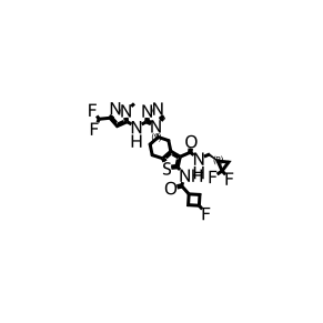 Cn1nc(C(F)F)cc1Nc1nncn1[C@H]1CCc2sc(NC(=O)C3CC(F)C3)c(C(=O)NC[C@H]3CC3(F)F)c2C1